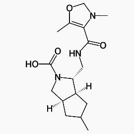 CC1=C(C(=O)NC[C@@H]2[C@H]3CC(C)C[C@H]3CN2C(=O)O)N(C)CO1